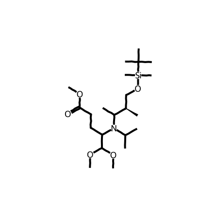 COC(=O)CCC(C(OC)OC)N(C(C)C)C(C)[C@H](C)CO[Si](C)(C)C(C)(C)C